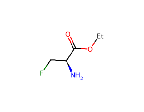 CCOC(=O)[C@@H](N)CF